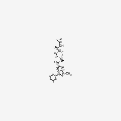 Cc1nn(-c2ccccc2)c2sc(C(=O)NC3CCC(C(=O)NC4CC4)CC3)cc12